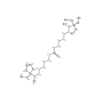 CCO[Si](OCC)(OCC)C(CC)CCCCCCC(=O)CCCCCCC(CC)[Si](OCC)(OCC)OCC